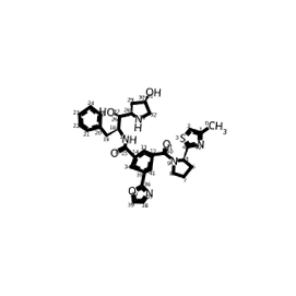 Cc1csc([C@H]2CCCN2C(=O)c2cc(C(=O)N[C@@H](Cc3ccccc3)[C@@H](O)[C@H]3C[C@@H](O)CN3)cc(-c3ncco3)c2)n1